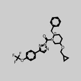 O=C(N1CC(OCC2CC2)CC[C@@H]1Cc1ccccc1)n1ncc(-c2ccc(OC(F)(F)F)cc2)n1